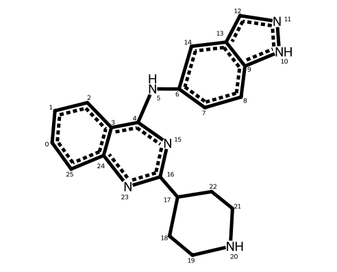 c1ccc2c(Nc3ccc4[nH]ncc4c3)nc(C3CCNCC3)nc2c1